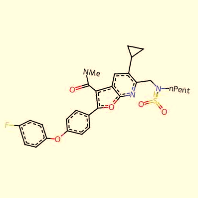 CCCCCN(Cc1nc2oc(-c3ccc(Oc4ccc(F)cc4)cc3)c(C(=O)NC)c2cc1C1CC1)[SH](=O)=O